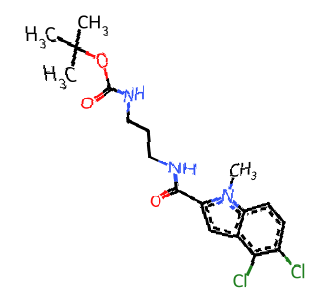 Cn1c(C(=O)NCCCNC(=O)OC(C)(C)C)cc2c(Cl)c(Cl)ccc21